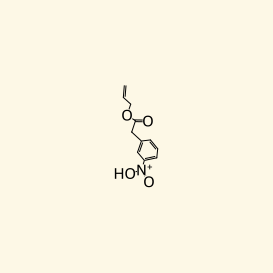 C=CCOC(=O)Cc1cccc([N+](=O)O)c1